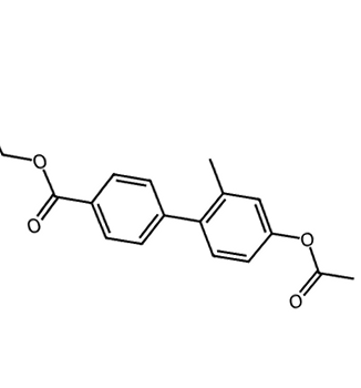 CCOC(=O)c1ccc(-c2ccc(OC(C)=O)cc2C)cc1